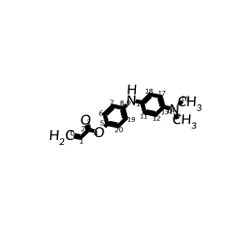 C=CC(=O)Oc1ccc(Nc2ccc(N(C)C)cc2)cc1